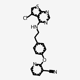 N#Cc1cccnc1Oc1ccc(CCNc2ncnc3scc(Cl)c23)cc1